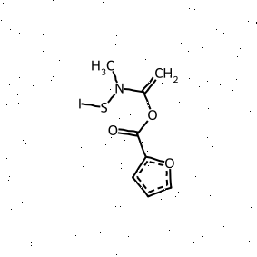 C=C(OC(=O)c1ccco1)N(C)SI